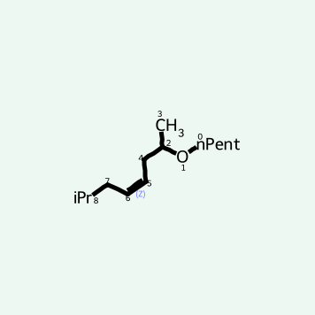 CCCCCOC(C)C/C=C\CC(C)C